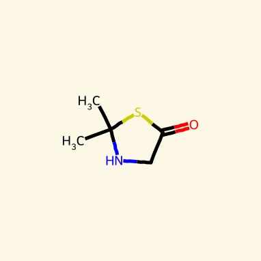 CC1(C)NCC(=O)S1